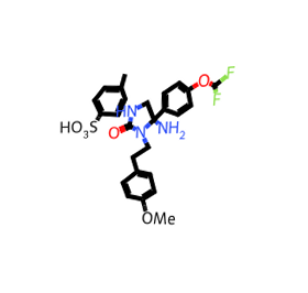 COc1ccc(CCN2C(=O)NCC2(N)c2ccc(OC(F)F)cc2)cc1.Cc1ccc(S(=O)(=O)O)cc1